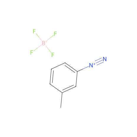 Cc1cccc([N+]#N)c1.F[B-](F)(F)F